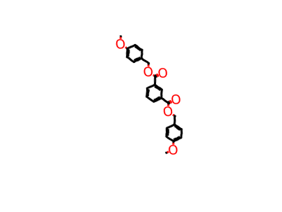 COc1ccc(COC(=O)c2cccc(C(=O)OCc3ccc(OC)cc3)c2)cc1